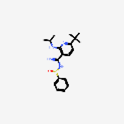 CC(C)Nc1nc(C(C)(C)C)ccc1C(=N)N[S+]([O-])c1ccccc1